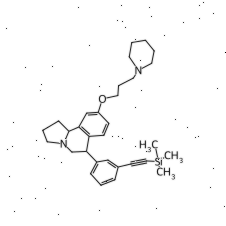 C[Si](C)(C)C#Cc1cccc(C2CN3CCCC3c3cc(OCCCN4CCCCC4)ccc32)c1